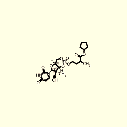 C#C[C@]1(C)[C@@H]2O[P@](=O)(OCCC(C)C(=O)OC3CCCC3)OC[C@H]2O[C@H]1n1ccc(=O)[nH]c1=O